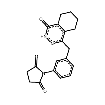 O=C1CCC(=O)N1c1cccc(Cc2n[nH]c(=O)c3c2CCCC3)c1